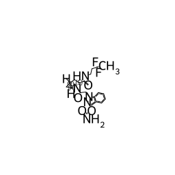 CC(F)(F)CCNC(=O)[C@@H]1C[C@H]2C[C@H]2N1C(=O)Cn1nc(OC(N)=O)c2ccccc21